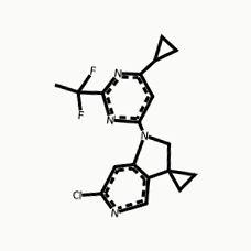 CC(F)(F)c1nc(C2CC2)cc(N2CC3(CC3)c3cnc(Cl)cc32)n1